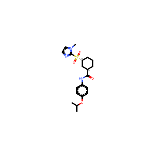 CC(C)Oc1ccc(NC(=O)[C@@H]2CCC[C@@H](S(=O)(=O)c3nccn3C)C2)cc1